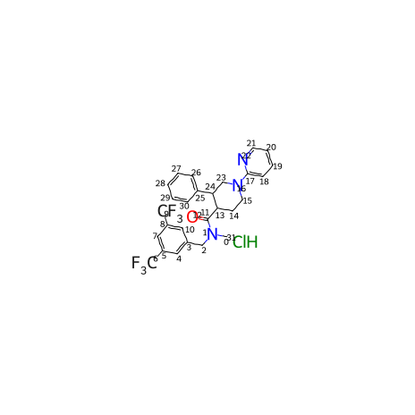 CN(Cc1cc(C(F)(F)F)cc(C(F)(F)F)c1)C(=O)C1CCN(c2ccccn2)CC1c1ccccc1.Cl